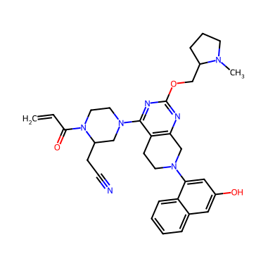 C=CC(=O)N1CCN(c2nc(OCC3CCCN3C)nc3c2CCN(c2cc(O)cc4ccccc24)C3)CC1CC#N